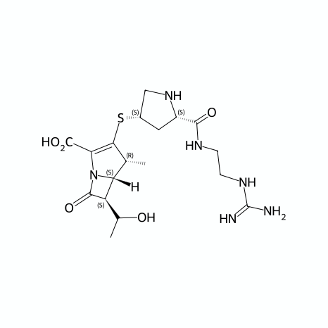 CC(O)[C@H]1C(=O)N2C(C(=O)O)=C(S[C@@H]3CN[C@H](C(=O)NCCNC(=N)N)C3)[C@H](C)[C@H]12